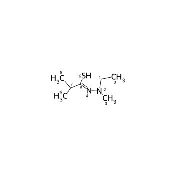 CCN(C)/N=C(\S)C(C)C